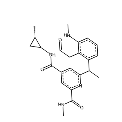 CNC(=O)c1cc(C(=O)NC2C[C@@H]2C)cc(C(C)c2cccc(NC)c2CC=O)n1